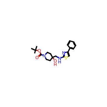 CC(C)(C)OC(=O)N1CCC(O)(CNc2nc(-c3ccccc3)cs2)CC1